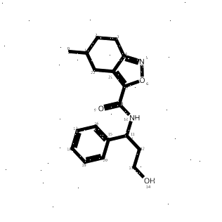 CC1CCc2noc(C(=O)NC(CCO)c3ccccc3)c2C1